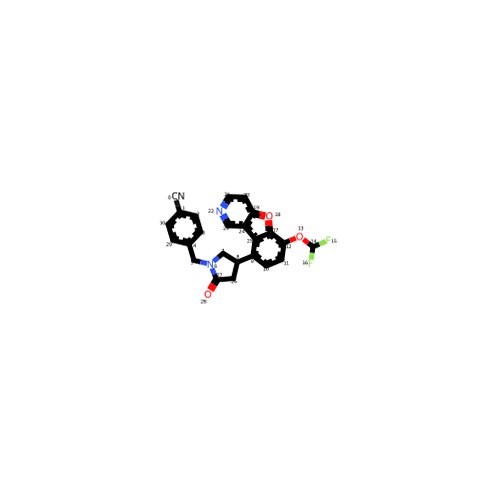 N#Cc1ccc(CN2CC(c3ccc(OC(F)F)c4oc5ccncc5c34)CC2=O)cc1